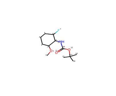 COC1CCCC(F)C1NC(=O)OC(C)(C)C